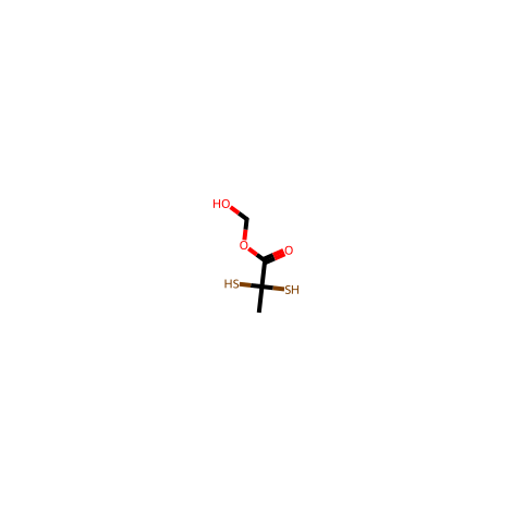 CC(S)(S)C(=O)OCO